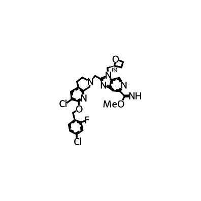 COC(=N)c1cc2nc(CN3CCc4cc(Cl)c(OCc5ccc(Cl)cc5F)nc4C3)n(C[C@@H]3CCO3)c2cn1